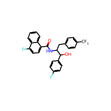 O=C(NC(Cc1ccc(C(F)(F)F)cc1)C(O)c1ccc(F)cc1)c1ccc(F)c2ccccc12